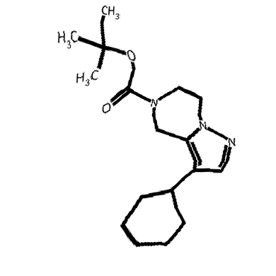 CC(C)(C)OC(=O)N1CCn2ncc(C3CCCCC3)c2C1